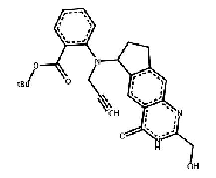 C#CCN(c1ccccc1C(=O)OC(C)(C)C)C1CCc2cc3nc(CO)[nH]c(=O)c3cc21